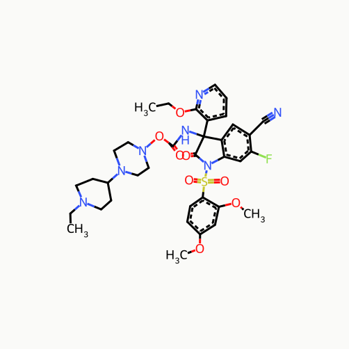 CCOc1ncccc1C1(NC(=O)ON2CCN(C3CCN(CC)CC3)CC2)C(=O)N(S(=O)(=O)c2ccc(OC)cc2OC)c2cc(F)c(C#N)cc21